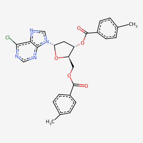 Cc1ccc(C(=O)OC[C@H]2O[C@H](n3cnc4c(Cl)ncnc43)C[C@@H]2OC(=O)c2ccc(C)cc2)cc1